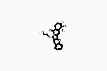 CC[C@@]1(O)C(=O)CCc2c1cc1n(c2=O)[C@@H](OCCO)c2cc3ccccc3nc2-1